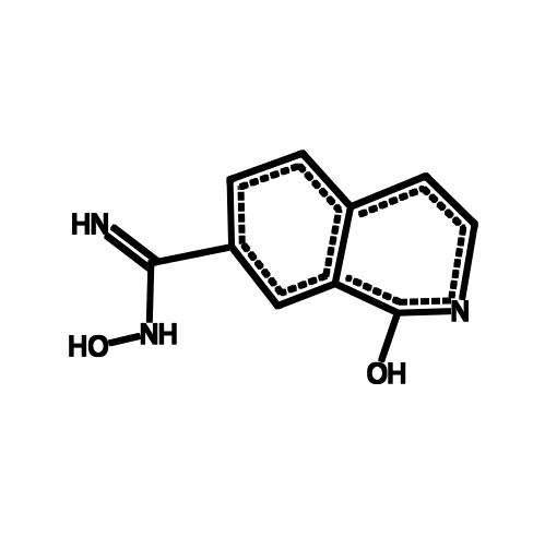 N=C(NO)c1ccc2ccnc(O)c2c1